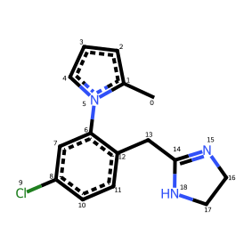 Cc1cccn1-c1cc(Cl)ccc1CC1=NCCN1